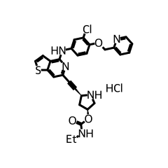 CCNC(=O)O[C@@H]1CN[C@H](C#Cc2cc3sccc3c(Nc3ccc(OCc4ccccn4)c(Cl)c3)n2)C1.Cl